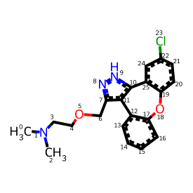 CN(C)CCOCc1n[nH]c2c1-c1ccccc1Oc1ccc(Cl)cc1-2